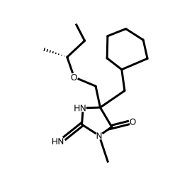 CC[C@@H](C)OCC1(CC2CCCCC2)NC(=N)N(C)C1=O